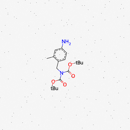 Cc1cc(N)ccc1CN(C(=O)OC(C)(C)C)C(=O)OC(C)(C)C